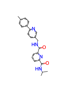 Cc1ccc(-c2ccc(CNC(=O)c3cccc(C(=O)NC(C)C)n3)cn2)cc1